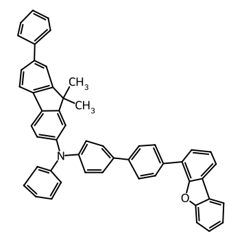 CC1(C)c2cc(-c3ccccc3)ccc2-c2ccc(N(c3ccccc3)c3ccc(-c4ccc(-c5cccc6c5oc5ccccc56)cc4)cc3)cc21